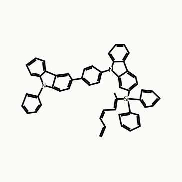 C=C/C=C\C=C(/C)[Si](c1ccccc1)(c1ccccc1)c1ccc2c3ccccc3n(-c3ccc(-c4ccc5c(c4)c4ccccc4n5-c4ccccc4)cc3)c2c1